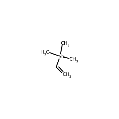 C=[CH][Sb]([CH3])([CH3])[CH3]